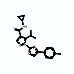 Cc1ccc(-c2csc(-n3ncc(C(=O)NC4CC4)c3C(C)C)n2)cc1